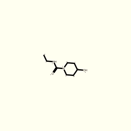 CCNC(=O)N1CCC(O)CC1